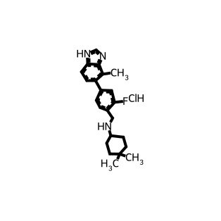 Cc1c(-c2ccc(CNC3CCC(C)(C)CC3)c(F)c2)ccc2[nH]cnc12.Cl